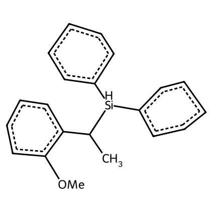 COc1ccccc1C(C)[SiH](c1ccccc1)c1ccccc1